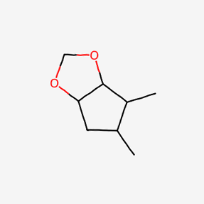 CC1CC2OCOC2C1C